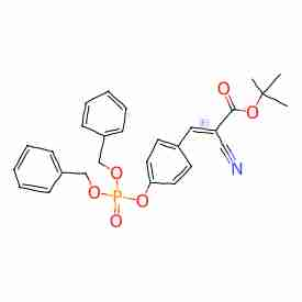 CC(C)(C)OC(=O)/C(C#N)=C/c1ccc(OP(=O)(OCc2ccccc2)OCc2ccccc2)cc1